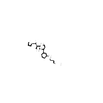 CC=CCNc1cccc(-c2ccnc3c(C(=O)c4cccs4)cnn23)c1